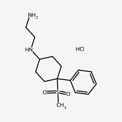 CS(=O)(=O)C1(c2ccccc2)CCC(NCCN)CC1.Cl